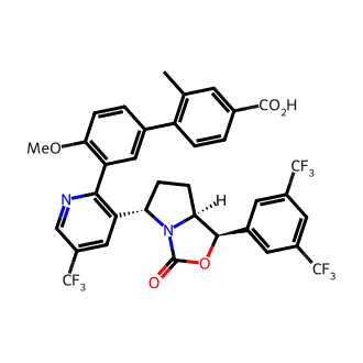 COc1ccc(-c2ccc(C(=O)O)cc2C)cc1-c1ncc(C(F)(F)F)cc1[C@@H]1CC[C@H]2[C@@H](c3cc(C(F)(F)F)cc(C(F)(F)F)c3)OC(=O)N12